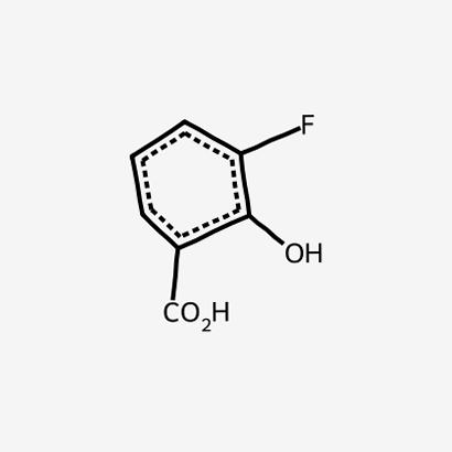 O=C(O)c1cccc(F)c1O